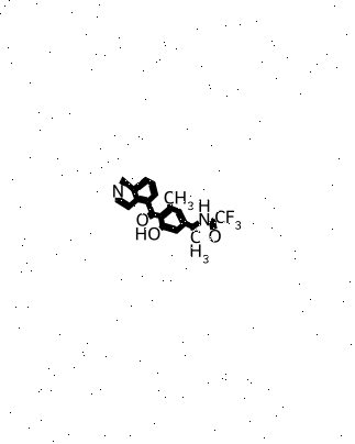 Cc1cc(C(C)NC(=O)C(F)(F)F)cc(O)c1C(=O)c1cccc2cnccc12